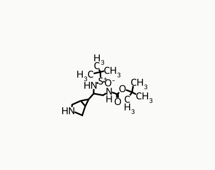 CC(C)(C)OC(=O)NCC(N[S+]([O-])C(C)(C)C)C1C2CNCC21